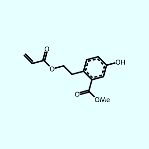 C=CC(=O)OCCc1ccc(O)cc1C(=O)OC